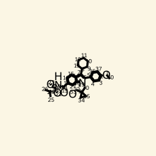 COc1ccc(-c2c(C3CCCCC3)c3ccc(C(=O)NS(=O)(=O)C(C)C)cc3n2CC2(C=O)CC2)cc1